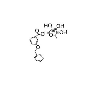 CC1O[C@H](COC(=O)c2cccc(OCc3ccccc3)c2)[C@H](O)[C@H](O)[C@H]1O